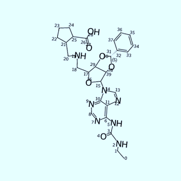 CCNC(=O)Nc1ncnc2c1ncn2C1OC(CNCC2CCCC2C(=O)O)C2O[C@H](c3ccccc3)OC21